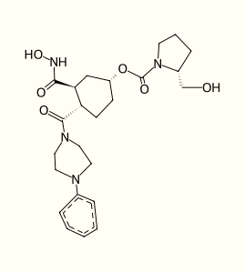 O=C(NO)[C@H]1C[C@H](OC(=O)N2CCC[C@@H]2CO)CC[C@@H]1C(=O)N1CCN(c2ccccc2)CC1